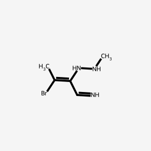 CNN/C(C=N)=C(\C)Br